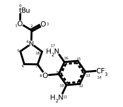 CC(C)(C)OC(=O)N1CCC(Oc2c(N)cc(C(F)(F)F)cc2N)C1